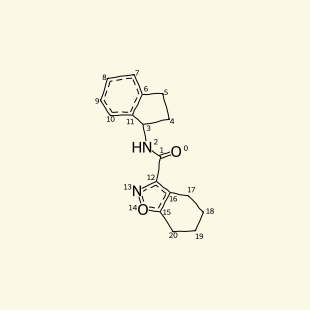 O=C(NC1CCc2ccccc21)c1noc2c1CCCC2